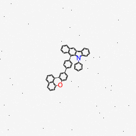 c1ccc(-n2c3ccccc3c3cc4ccccc4c(-c4ccc(-c5ccc6c(c5)-c5cccc7cccc(c57)O6)cc4)c32)cc1